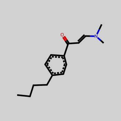 CCCCc1ccc(C(=O)C=CN(C)C)cc1